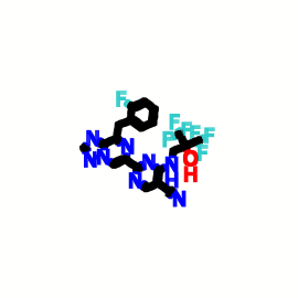 N#Cc1cnc(-c2cn3ncnc3c(Cc3ccccc3F)n2)nc1NCC(O)(C(F)(F)F)C(F)(F)F